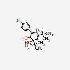 CC(C)(C)C1=CC(O)(C(C)(C)C)C(O)C(c2ccc(Cl)cc2)=C1